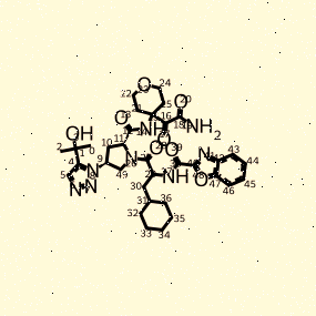 CC(C)(O)c1cnnn1[C@H]1C[C@@H](C(=O)NC2(C(=O)C(N)=O)CCOCC2)N(C(=O)C(CC2CCCCC2)NC(=O)c2nc3ccccc3o2)C1